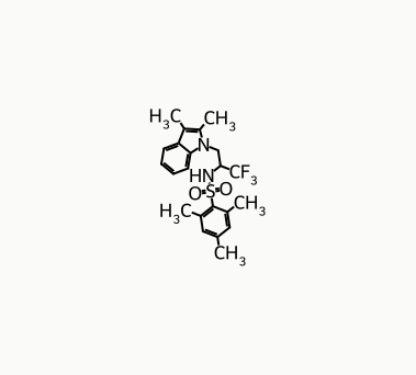 Cc1cc(C)c(S(=O)(=O)NC(Cn2c(C)c(C)c3ccccc32)C(F)(F)F)c(C)c1